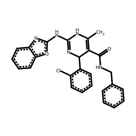 CC1=C(C(=O)NCc2ccccc2)C(c2ccccc2Cl)N=C(Nc2nc3ccccc3o2)N1